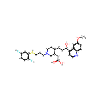 COc1ccc2nccc([C@H](O)CC[C@@H]3CCN(CCCSc4cc(F)ccc4F)C[C@@H]3CC(=O)O)c2c1